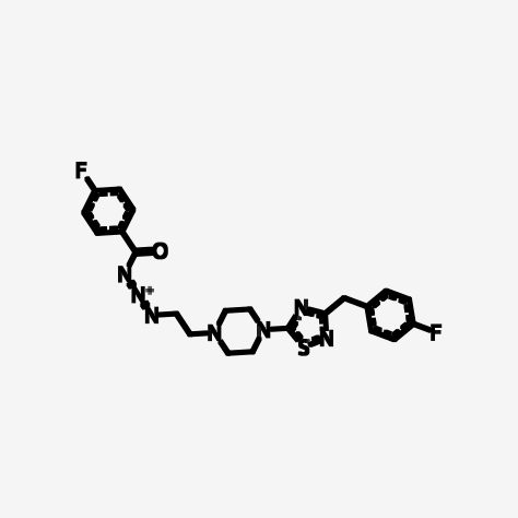 O=C(N=[N+]=NCCN1CCN(c2nc(Cc3ccc(F)cc3)ns2)CC1)c1ccc(F)cc1